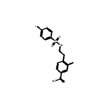 Cc1cc(C(=O)O)ccc1CCNS(=O)(=O)c1ccc(Cl)cc1